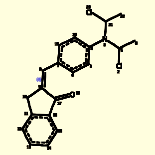 CC(Cl)N(c1ccc(/C=C2/Cc3ccccc3C2=O)cc1)C(C)Cl